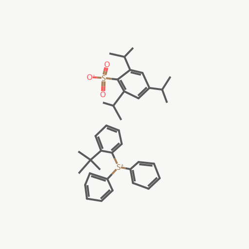 CC(C)(C)c1ccccc1[S+](c1ccccc1)c1ccccc1.CC(C)c1cc(C(C)C)c(S(=O)(=O)[O-])c(C(C)C)c1